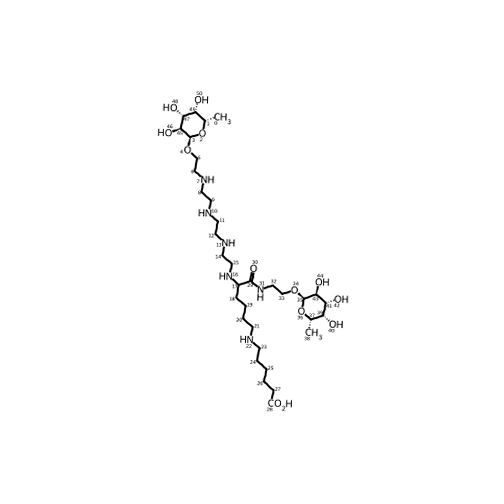 C[C@@H]1O[C@@H](OCCNCCNCCNCCNC(CCCCNCCCCCC(=O)O)C(=O)NCCO[C@@H]2O[C@@H](C)[C@@H](O)[C@@H](O)[C@@H]2O)[C@@H](O)[C@H](O)[C@@H]1O